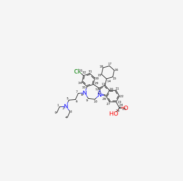 CCN(CC)CCCN1CCn2c(c(C3CCCCC3)c3ccc(C(=O)O)cc32)-c2ccc(Cl)cc21